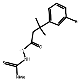 CNC(=S)NNC(=O)CC(C)(C)c1cccc(Br)c1